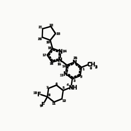 Cc1cc(NC2CCC(F)(F)CC2)nc(-n2ccc(C3CCCC3)n2)n1